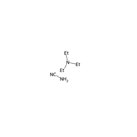 CCN(CC)CC.N#CN